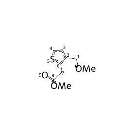 COCc1ccsc1CC(=O)OC